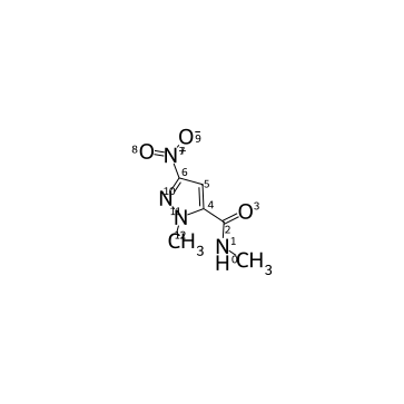 CNC(=O)c1cc([N+](=O)[O-])nn1C